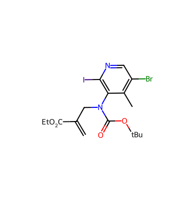 C=C(CN(C(=O)OC(C)(C)C)c1c(I)ncc(Br)c1C)C(=O)OCC